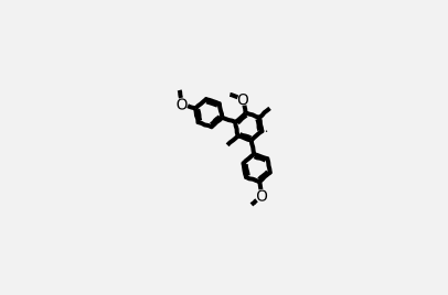 COc1ccc(-c2[c]c(C)c(OC)c(-c3ccc(OC)cc3)c2C)cc1